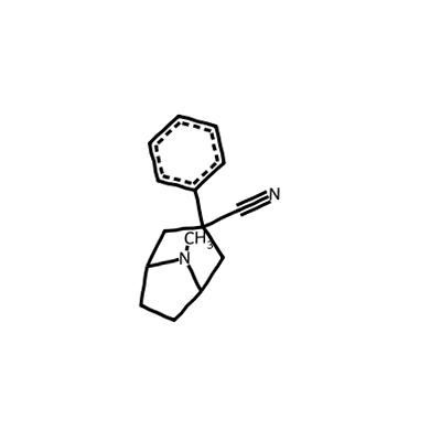 CN1C2CCC1CC(C#N)(c1ccccc1)C2